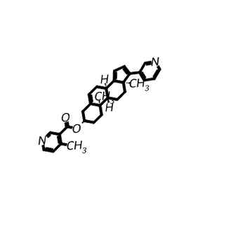 Cc1ccncc1C(=O)O[C@H]1CC[C@@]2(C)C(=CC[C@H]3C4=CC=C(c5cccnc5)[C@@]4(C)CC[C@@H]32)C1